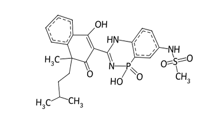 CC(C)CCC1(C)C(=O)C(C2=NP(=O)(O)c3cc(NS(C)(=O)=O)ccc3N2)=C(O)c2ccccc21